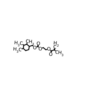 C=C(C)C(=O)OCCOC(=O)OCC1CCC(C)C(C)C1C